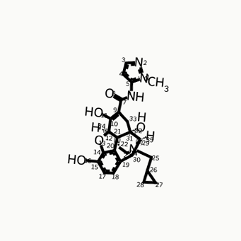 Cn1nccc1NC(=O)C1=C(O)[C@@H]2Oc3c(O)ccc4c3[C@@]23CCN(CC2CC2)[C@H](C4)[C@]3(O)C1